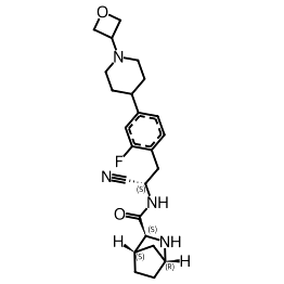 N#C[C@H](Cc1ccc(C2CCN(C3COC3)CC2)cc1F)NC(=O)[C@H]1N[C@@H]2CC[C@H]1C2